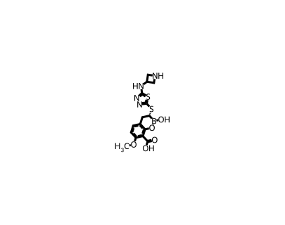 COc1ccc2c(c1C(=O)O)OB(O)[C@@H](Sc1nnc(NC3CNC3)s1)C2